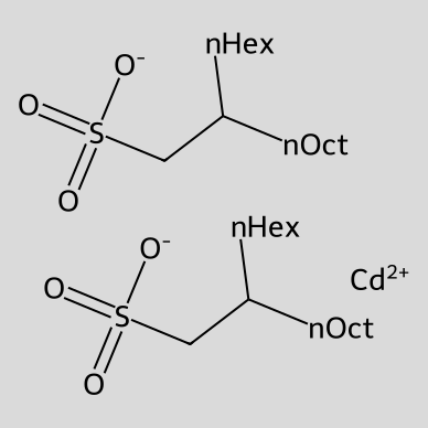 CCCCCCCCC(CCCCCC)CS(=O)(=O)[O-].CCCCCCCCC(CCCCCC)CS(=O)(=O)[O-].[Cd+2]